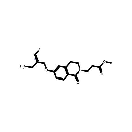 COC(=O)CCN1CCc2cc(OC/C(=C\F)CN)ccc2C1=O